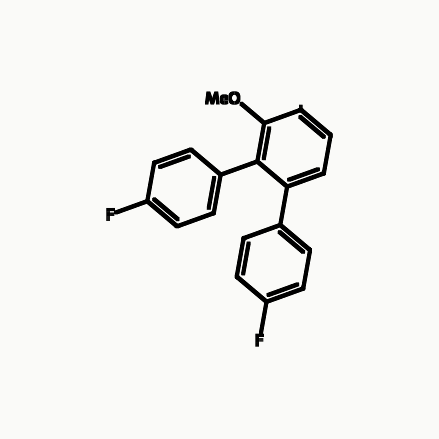 COc1[c]ccc(-c2ccc(F)cc2)c1-c1ccc(F)cc1